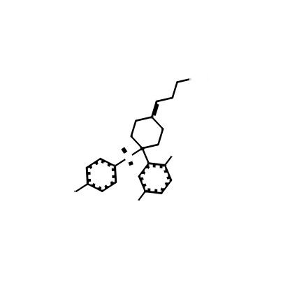 CCOC(=O)CCC=C1CCC(c2cc(F)ccc2F)(S(=O)(=O)c2ccc(Cl)cc2)CC1